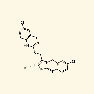 Cl.Cl.Clc1ccc2c(c1)CN1C(CSC3=NCc4cc(Cl)ccc4N3)=CSC1=N2